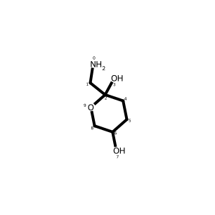 NCC1(O)CCC(O)CO1